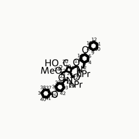 CCCN(Cc1ccc(Oc2ccccc2)cc1)C(=O)C1C(C(=O)O)C(C(=O)OC)C1C(=O)N(CCC)Cc1ccc(Oc2ccccc2)cc1